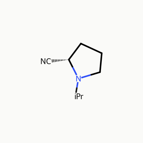 CC(C)N1CCC[C@H]1C#N